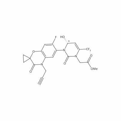 C#CCN1C(=O)C2(CC2)Oc2cc(F)c(N3C(=O)N(CC(=O)OC)C(C(F)(F)F)=C[C@H]3O)cc21